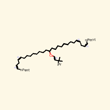 CCCCC/C=C\C/C=C\CCCCCCCCC(CCCCCCCC/C=C\C/C=C\CCCCC)O/C=C/C(C)(C)C(C)C